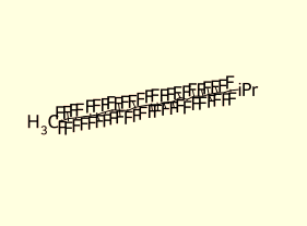 CC(C)C(F)(F)C(F)(F)C(F)(F)C(F)(F)C(F)(F)C(F)(F)C(F)(F)C(F)(F)C(F)(F)C(F)(F)C(F)(F)C(F)(F)C(F)(F)C(F)(F)C(F)(F)C(F)(F)C(F)(F)C(F)(F)C(F)(F)C(F)(F)C(F)(F)C(F)(F)C(F)(F)C(C)(F)F